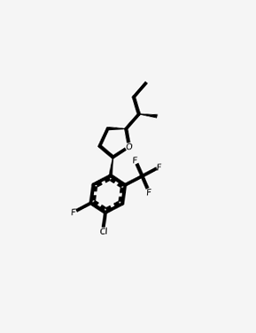 CC[C@@H](C)[C@@H]1CC[C@H](c2cc(F)c(Cl)cc2C(F)(F)F)O1